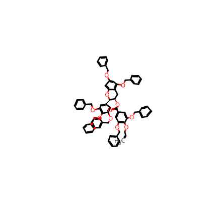 C=CCOc1c(OCc2ccccc2)cc(C(=O)O[C@@H]2Cc3c(OCc4ccccc4)cc(OCc4ccccc4)cc3O[C@@H]2c2cc(OCc3ccccc3)c(OCc3ccccc3)c(OCc3ccccc3)c2)cc1OCc1ccccc1